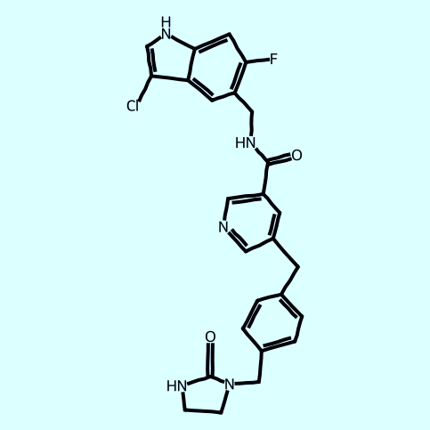 O=C(NCc1cc2c(Cl)c[nH]c2cc1F)c1cncc(Cc2ccc(CN3CCNC3=O)cc2)c1